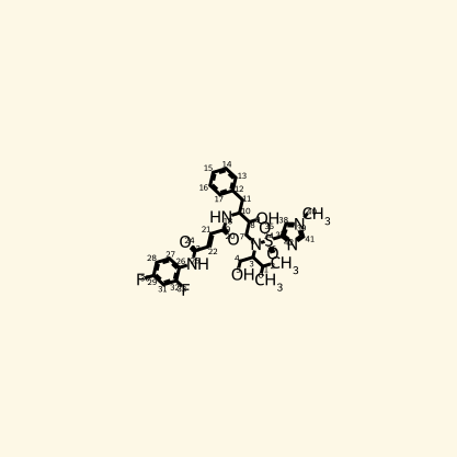 CC(C)C(CO)N(CC(O)C(Cc1ccccc1)NC(=O)/C=C/C(=O)Nc1ccc(F)cc1F)S(=O)(=O)c1cn(C)cn1